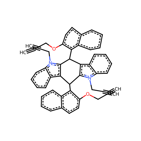 C#CCOc1ccc2ccccc2c1C1c2c(n(CC#C)c3ccccc23)C(c2c(OCC#C)ccc3ccccc23)c2c1n(CC#C)c1ccccc21